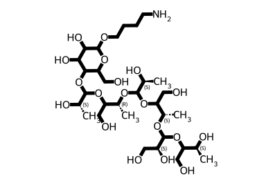 C[C@H](O)C(CO)OC(O[C@@H](C)C(CO)OC(O[C@H](C)C(CO)OC(OC1C(CO)OC(OCCCCN)C(O)C1O)[C@H](C)O)[C@H](C)O)[C@@H](O)CO